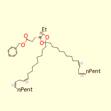 CCCCC/C=C\C/C=C\CCCCCCCCC1(CCCCCCCC/C=C\C/C=C\CCCCC)O[C@@H](CC)[C@@H](CCC(=O)OCc2ccccc2)O1